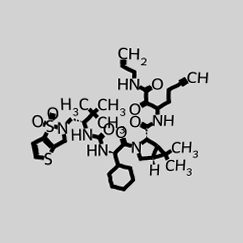 C#CCCC(NC(=O)[C@@H]1C2[C@H](CN1C(=O)[C@@H](NC(=O)N[C@H](CN1Cc3sccc3S1(=O)=O)C(C)(C)C)C1CCCCC1)C2(C)C)C(=O)C(=O)NCC=C